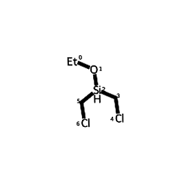 CCO[SiH](CCl)CCl